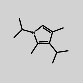 Cc1cn(C(C)C)c(C)c1C(C)C